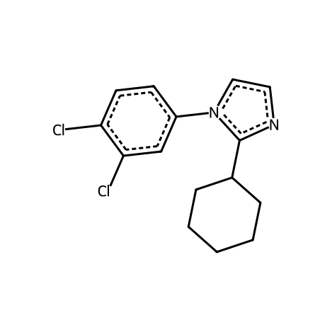 Clc1ccc(-n2ccnc2C2CCCCC2)cc1Cl